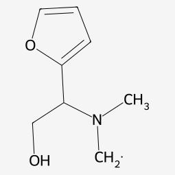 [CH2]N(C)C(CO)c1ccco1